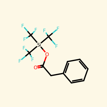 O=C(Cc1ccccc1)O[Si](C(F)(F)F)(C(F)(F)F)C(F)(F)F